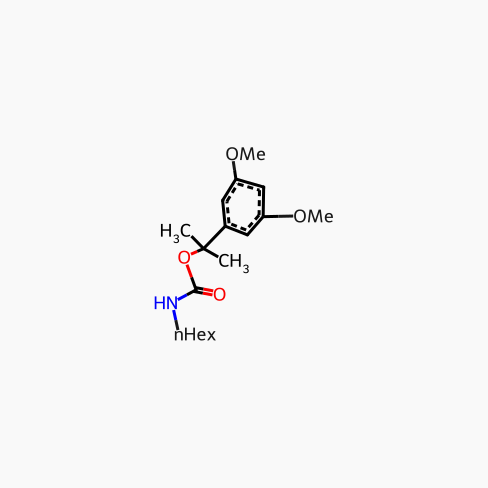 CCCCCCNC(=O)OC(C)(C)c1cc(OC)cc(OC)c1